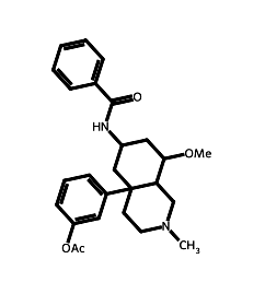 COC1CC(NC(=O)c2ccccc2)CC2(c3cccc(OC(C)=O)c3)CCN(C)CC12